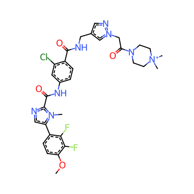 COc1ccc(-c2cnc(C(=O)Nc3ccc(C(=O)NCc4cnn(CC(=O)N5CC[N+](C)(C)CC5)c4)c(Cl)c3)n2C)c(F)c1F